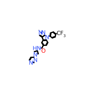 Cn1cc2c3cc(C(=O)NC4CN(c5ccncn5)C4)ccc3n(-c3ccc(C(F)(F)F)cc3)c2n1